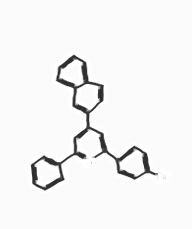 Brc1ccc(-c2cc(-c3ccc4ccccc4c3)cc(-c3ccccc3)n2)cc1